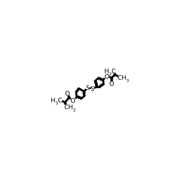 C=C(C)C(=O)Oc1ccc(SSc2ccc(OC(=O)C(=C)C)cc2)cc1